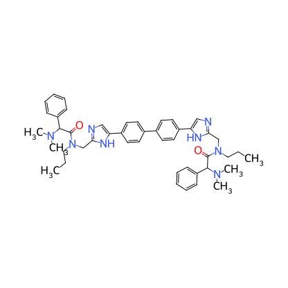 CCCN(Cc1ncc(-c2ccc(-c3ccc(-c4cnc(CN(CCC)C(=O)C(c5ccccc5)N(C)C)[nH]4)cc3)cc2)[nH]1)C(=O)C(c1ccccc1)N(C)C